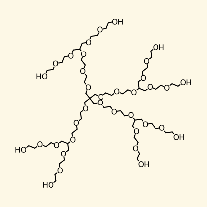 OCCOCCOCC(COCCOCCO)OCCOCCOCC(COCCOCCOC(COCCOCCO)COCCOCCO)(COCCOCCOC(COCCOCCO)COCCOCCO)COCCOCCOC(COCCOCCO)COCCOCCO